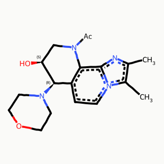 CC(=O)N1C[C@H](O)[C@H](N2CCOCC2)c2ccn3c(C)c(C)nc3c21